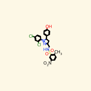 Cc1ccc([N+](=O)[O-])cc1S(=O)(=O)NCC1=NN(c2ccc(Cl)cc2Cl)C(c2ccc(O)cc2)C1